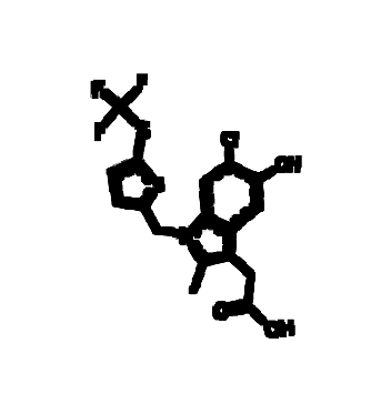 Cc1c(CC(=O)O)c2cc(O)c(Cl)cc2n1Cc1ccc(SC(F)(F)F)s1